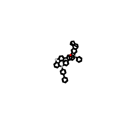 c1ccc(-c2ccc(N(c3ccc(-c4ccccc4)cc3)c3cccc4oc5ccc(-c6ccc7c(c6)c6cc8c(cc6n7-c6ccccc6)C6CC7CC(C6)C8C7)cc5c34)cc2)cc1